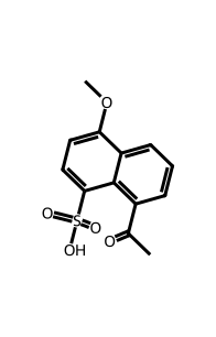 COc1ccc(S(=O)(=O)O)c2c(C(C)=O)cccc12